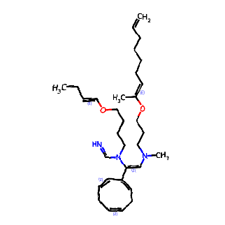 C=CCCCC/C=C(\C)OCCCN(C)/C=C(/C1=CC/C=C\C/C=C\1)N(C=N)CCCCO/C=C/CC